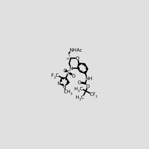 CC(=O)NC[C@H]1CN(S(=O)(=O)c2cn(C)nc2C(F)(F)F)c2cc(NC(=O)OC(C)(C)C(F)(F)F)ccc2O1